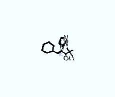 CC(C)(C)C(O)/C(=C/C1CCCCC1)n1ccnn1